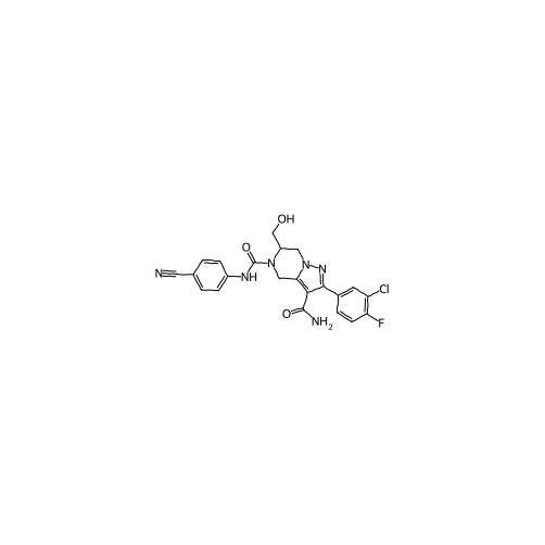 N#Cc1ccc(NC(=O)N2Cc3c(C(N)=O)c(-c4ccc(F)c(Cl)c4)nn3CC2CO)cc1